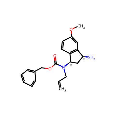 C=CCN(C(=O)OCc1ccccc1)[C@@H]1C[C@H](N)c2cc(OC)ccc21